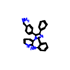 NCc1ccc(-c2c(-c3ccccc3)nc3n2-c2cccnc2Nc2ccccc2-3)cc1